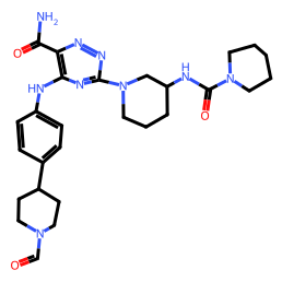 NC(=O)c1nnc(N2CCCC(NC(=O)N3CCCCC3)C2)nc1Nc1ccc(C2CCN(C=O)CC2)cc1